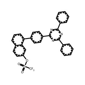 O=S(=O)(Oc1ccc2cccc(-c3ccc(-c4nc(-c5ccccc5)nc(-c5ccccc5)n4)cc3)c2c1)C(F)(F)F